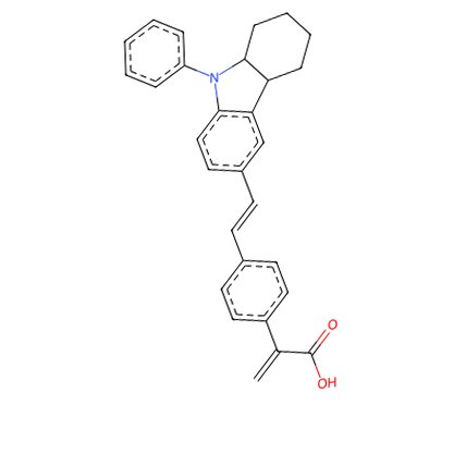 C=C(C(=O)O)c1ccc(C=Cc2ccc3c(c2)C2CCCCC2N3c2ccccc2)cc1